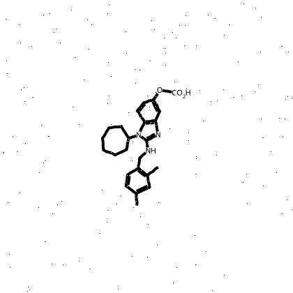 Cc1ccc(CNc2nc3cc(OC(=O)O)ccc3n2C2CCCCCC2)c(C)c1